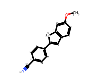 COc1ccc2cc(-c3ccc(C#N)cc3)[se]c2c1